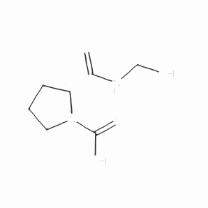 CCNC(=O)[C@H]1CCCN1C(=O)O